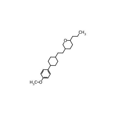 CCCC1CCC(CCC2CCC(c3ccc(OC)cc3)CC2)CO1